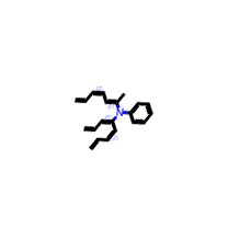 C=C/C=C\C=C(/C)N(C(/C=C\C=C)=C/C=C)c1ccccc1